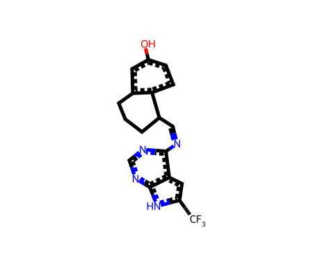 Oc1ccc2c(c1)CCCC2/C=N\c1ncnc2[nH]c(C(F)(F)F)cc12